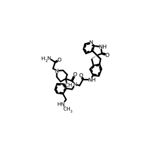 CNCc1ccccc1CN(CC(=O)Nc1ccc2c(c1)C[C@@]1(C2)C(=O)Nc2ncccc21)C(=O)C1(C)CCN(CC(N)=O)CC1